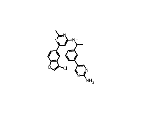 Cc1nc(NC(C)c2cccc(-c3cnc(N)nc3)c2)cc(-c2ccc3occ(Cl)c3c2)n1